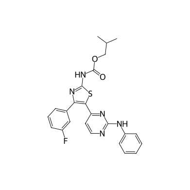 CC(C)COC(=O)Nc1nc(-c2cccc(F)c2)c(-c2ccnc(Nc3ccccc3)n2)s1